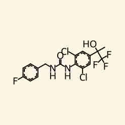 CC(O)(c1cc(Cl)c(NC(=O)NCc2ccc(F)cc2)c(Cl)c1)C(F)(F)F